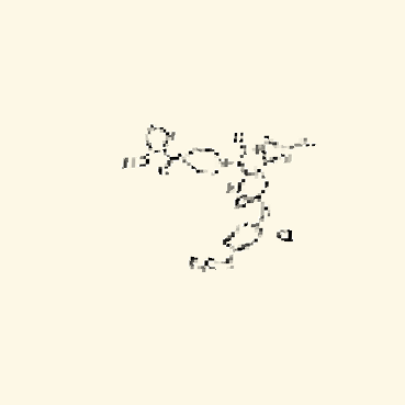 CCc1c(N2CCN(C(=O)c3ncccc3O)CC2)c(=O)n2nc(N(C)C)nc2n1CC(=O)Nc1ccc(SC(F)(F)F)cc1Cl